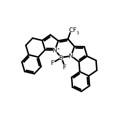 F[B-]1(F)n2c(cc3c2-c2ccccc2CC3)C(C(F)(F)F)=C2C=C3CCc4ccccc4C3=[N+]21